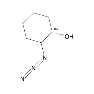 [N-]=[N+]=NC1CCCC[C@@H]1O